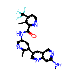 CNc1cc2ncc(-c3cc(NC(=O)c4nccc(C(F)(F)F)c4C)cnc3C)cc2cn1